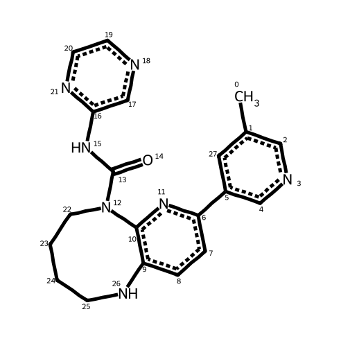 Cc1cncc(-c2ccc3c(n2)N(C(=O)Nc2cnccn2)CCCCN3)c1